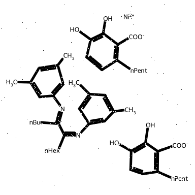 CCCCCCC(=Nc1cc(C)cc(C)c1)C(CCCC)=Nc1cc(C)cc(C)c1.CCCCCc1ccc(O)c(O)c1C(=O)[O-].CCCCCc1ccc(O)c(O)c1C(=O)[O-].[Ni+2]